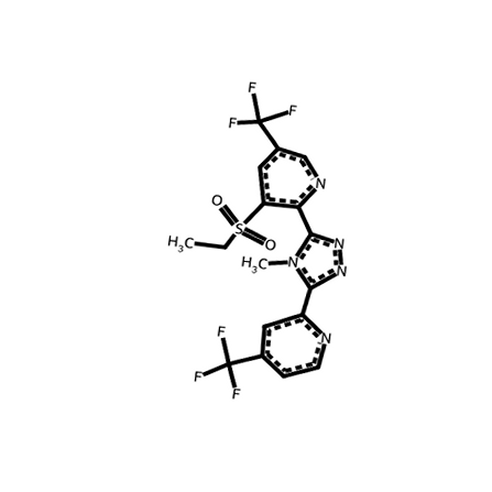 CCS(=O)(=O)c1cc(C(F)(F)F)cnc1-c1nnc(-c2cc(C(F)(F)F)ccn2)n1C